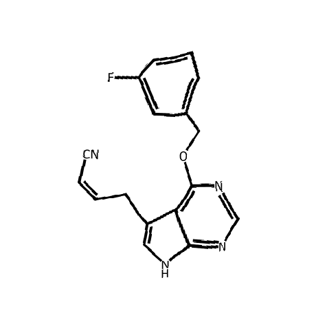 N#C/C=C\Cc1c[nH]c2ncnc(OCc3cccc(F)c3)c12